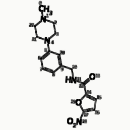 CN1CCN(c2cccc(CNC(=O)c3ccc([N+](=O)[O-])o3)c2)CC1